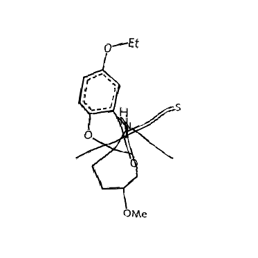 CCOc1ccc2c(c1)C1(NC(=S)N(C)C1=O)C1(CCC(OC)CC1)O2